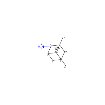 CC12CC(N)=C3C(C1)CC3(C)C2